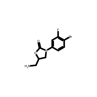 NCC1CN(c2ccc(Br)c(F)c2)C(=O)O1